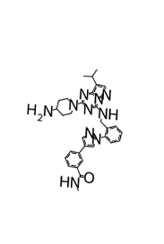 CNC(=O)c1cccc(-c2cnn(-c3ccccc3CNc3nc(N4CCC(N)CC4)nc4c(C(C)C)cnn34)c2)c1